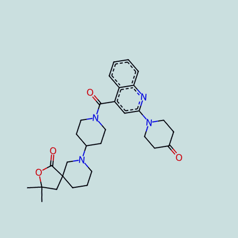 CC1(C)CC2(CCCN(C3CCN(C(=O)c4cc(N5CCC(=O)CC5)nc5ccccc45)CC3)C2)C(=O)O1